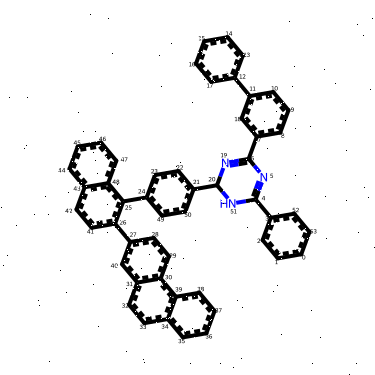 c1ccc(C2=NC(c3cccc(-c4ccccc4)c3)=NC(c3ccc(-c4c(-c5ccc6c(ccc7ccccc76)c5)ccc5ccccc45)cc3)N2)cc1